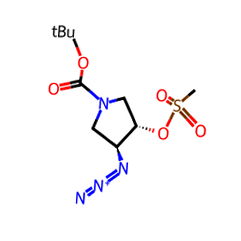 CC(C)(C)OC(=O)N1C[C@H](N=[N+]=[N-])[C@@H](OS(C)(=O)=O)C1